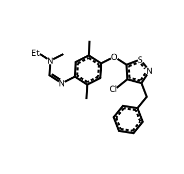 CCN(C)/C=N\c1cc(C)c(Oc2snc(Cc3ccccc3)c2Cl)cc1C